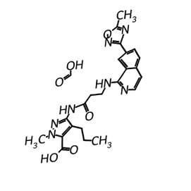 CCCc1c(NC(=O)CCNc2nccc3ccc(-c4noc(C)n4)cc23)nn(C)c1C(=O)O.O=CO